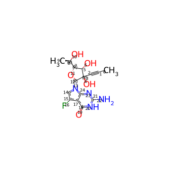 CC#C[C@@]1(O)C(O)[C@@H]([C@@H](C)O)O[C@H]1n1cc(F)c2c(=O)[nH]c(N)nc21